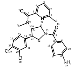 Cc1cccc(C(=O)N(C)[C@@H]2CN(C(=O)c3ccc(N)cc3)C[C@H]2c2ccc(Cl)c(Cl)c2)n1